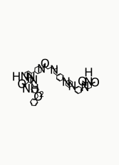 CN(CCC(=O)N1CCC([C@@H]2CCNc3c(C(N)=O)c(-c4ccc(Oc5ccccc5)cc4)nn32)CC1)Cc1ccc(N2CCN(c3cccc(N4CCC(=O)NC4=O)c3)CC2)cc1